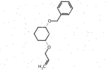 C=CCO[C@@H]1CCC[C@H](OCc2ccccc2)C1